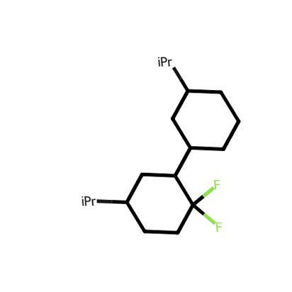 CC(C)C1CCCC(C2CC(C(C)C)CCC2(F)F)C1